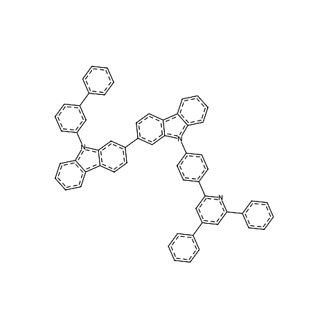 c1ccc(-c2cccc(-n3c4ccccc4c4ccc(-c5ccc6c7ccccc7n(-c7ccc(-c8cc(-c9ccccc9)cc(-c9ccccc9)n8)cc7)c6c5)cc43)c2)cc1